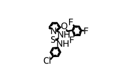 Fc1cc(F)c(COc2cccnc2NC(=S)Nc2ccc(Cl)cc2)c(F)c1